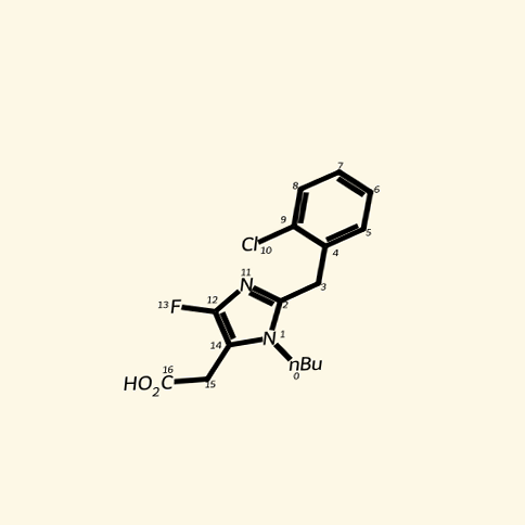 CCCCn1c(Cc2ccccc2Cl)nc(F)c1CC(=O)O